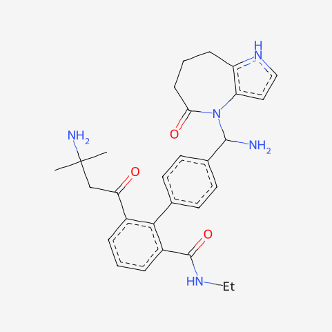 CCNC(=O)c1cccc(C(=O)CC(C)(C)N)c1-c1ccc(C(N)N2C(=O)CCCc3[nH]ccc32)cc1